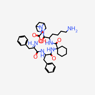 NCCCCC(NC(=O)C1(NC(=O)C(Cc2ccccc2)NC(=O)C(N)Cc2ccccc2)CCCCC1)C(=O)N1CC2CC(C1)N2CC(=O)O